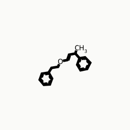 CC(C=COCCc1ccccc1)c1ccccc1